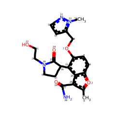 Cc1oc2ccc(OCc3ccnn3C)c(C3CCN(CCO)C3=O)c2c1C(N)=O